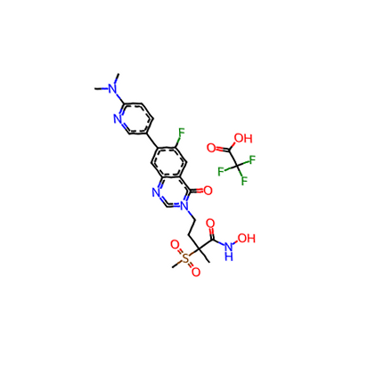 CN(C)c1ccc(-c2cc3ncn(CCC(C)(C(=O)NO)S(C)(=O)=O)c(=O)c3cc2F)cn1.O=C(O)C(F)(F)F